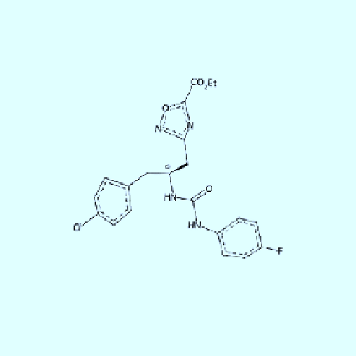 CCOC(=O)c1nc(C[C@H](Cc2ccc(Cl)cc2)NC(=O)Nc2ccc(F)cc2)no1